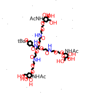 CC(=O)NC1C(OCCOCCNC(=O)CCOCC(COCCC(=O)NCCOCCOC2CC(CO)C(O)C(O)C2NC(C)=O)(COCCC(=O)NCCOCCOC2OC(CO)C(O)C(O)C2NC(C)=O)NC(=O)C2CCC(OC(C)(C)C)CC2)CC(CO)C(O)C1O